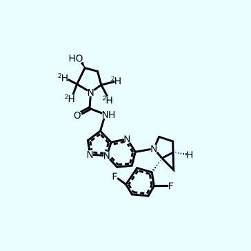 [2H]C1([2H])C[C@H](O)C([2H])([2H])N1C(=O)Nc1cnn2ccc(N3CC[C@H]4C[C@]43c3cc(F)ccc3F)nc12